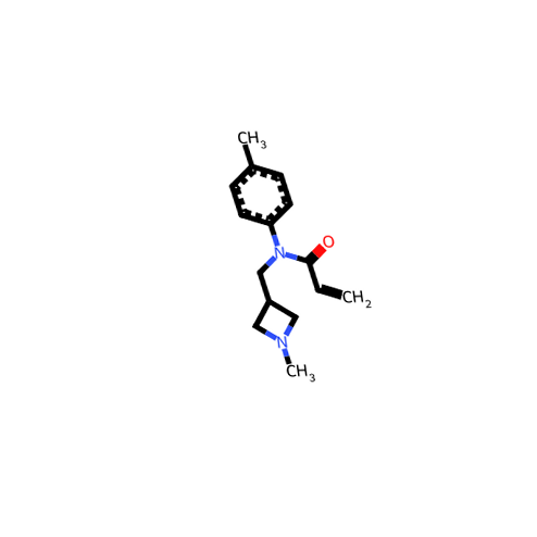 C=CC(=O)N(CC1CN(C)C1)c1ccc(C)cc1